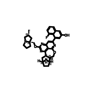 Oc1cc(-c2cc3nc(OC[C@]45CCCN4C[C@H](F)C5)nc4c3c(n2)OC[C@H]2[C@@H]3CC[C@H](CN42)N3)c2c(F)cccc2c1